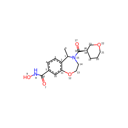 CC1c2ccc(C(=O)NO)cc2OCCN1C(=O)[C@@H]1CCCOC1